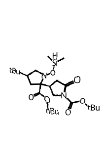 CCCCOC(=O)C1(C2CC(=O)N(C(=O)OC(C)(C)C)C2)CC(C(C)(C)C)CN1O[SiH](C)C